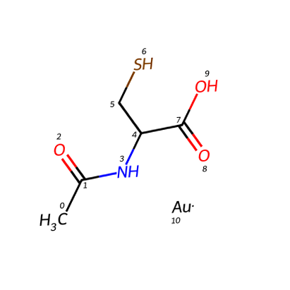 CC(=O)NC(CS)C(=O)O.[Au]